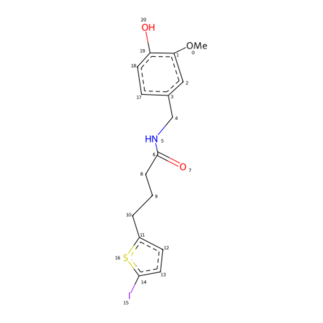 COc1cc(CNC(=O)CCCc2ccc(I)s2)ccc1O